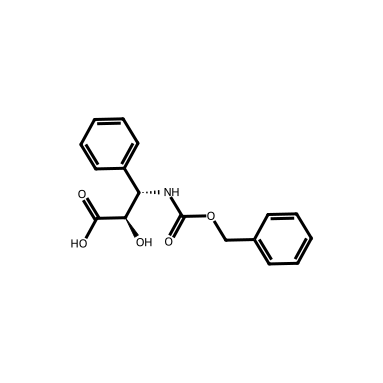 O=C(N[C@@H](c1ccccc1)[C@@H](O)C(=O)O)OCc1ccccc1